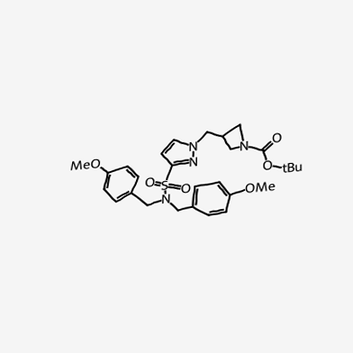 COc1ccc(CN(Cc2ccc(OC)cc2)S(=O)(=O)c2ccn(CC3CN(C(=O)OC(C)(C)C)C3)n2)cc1